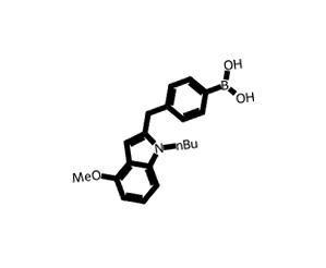 CCCCn1c(Cc2ccc(B(O)O)cc2)cc2c(OC)cccc21